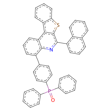 O=P(c1ccccc1)(c1ccccc1)c1ccc(-c2cccc3c2nc(-c2cccc4ccccc24)c2sc4ccccc4c23)cc1